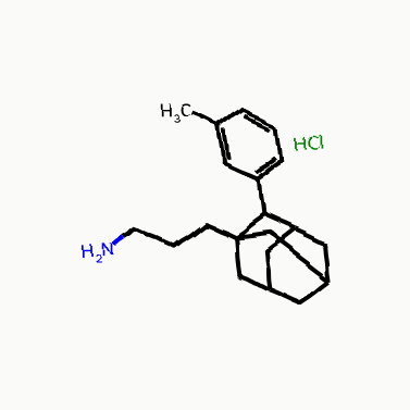 Cc1cccc(C2C3CC4CC(C3)CC2(CCCN)C4)c1.Cl